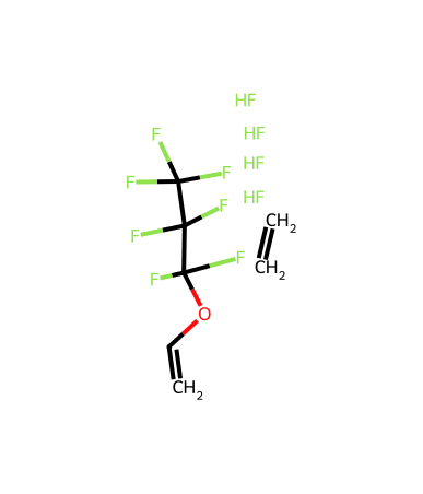 C=C.C=COC(F)(F)C(F)(F)C(F)(F)F.F.F.F.F